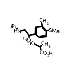 CC(O)C(=O)O.CSc1ccc(C(O)CNC(C)C)cc1C